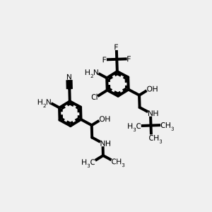 CC(C)(C)NCC(O)c1cc(Cl)c(N)c(C(F)(F)F)c1.CC(C)NCC(O)c1ccc(N)c(C#N)c1